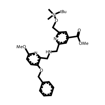 COC(=O)c1cc(CNCc2nc(OC)ccc2OCc2ccccc2)nc(CO[Si](C)(C)C(C)(C)C)c1